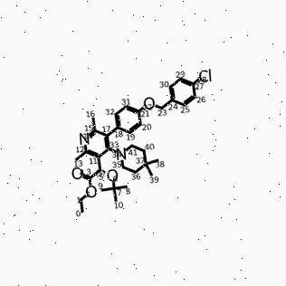 CCOC(=O)[C@@H](OC(C)(C)C)c1c(C)nc(C)c(-c2ccc(OCc3ccc(Cl)cc3)cc2)c1N1CCC(C)(C)CC1